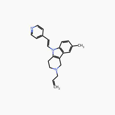 C=CCN1CCc2c(c3cc(C)ccc3n2/C=C/c2ccncc2)C1